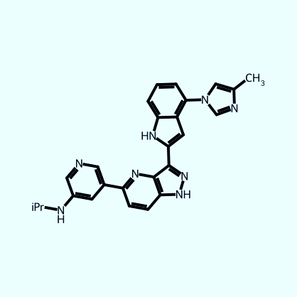 Cc1cn(-c2cccc3[nH]c(-c4n[nH]c5ccc(-c6cncc(NC(C)C)c6)nc45)cc23)cn1